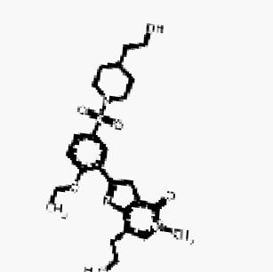 CCCc1cn(C)c(=O)c2c1N=C(c1cc(S(=O)(=O)N3CCC(CCO)CC3)ccc1OCC)C2